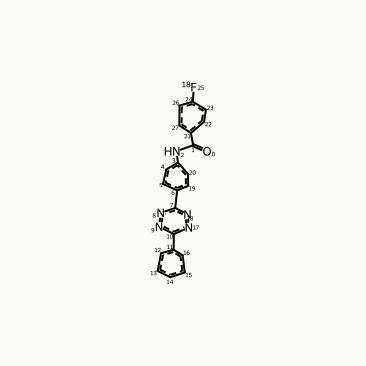 O=C(Nc1ccc(-c2nnc(-c3ccccc3)nn2)cc1)c1ccc([18F])cc1